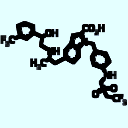 CC(Cc1ccc2c(c1)cc(C(=O)O)n2Cc1ccc(NCS(=O)(=O)CC(F)(F)F)cc1)NCC(O)c1cccc(C(F)(F)F)c1